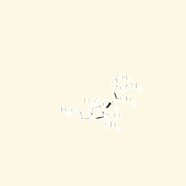 COC(C=C(C)C#CC1(O)C(C)=CC2(CCC(C)C2)CC1(C)C)OC